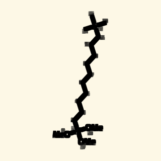 CO[Si](CCCCCCCCCC[Si](C)(C)C)(OC)OC